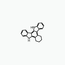 c1ccc2c(c1)[nH]c1c2c2c(c3[nH]c4ccccc4c31)CCCC2